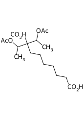 CC(=O)OC(C)C(CCCCCCC(=O)O)(C(=O)O)C(C)OC(C)=O